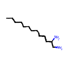 CCCCCCCCCCCC(N)CN